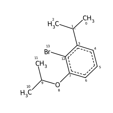 C[C](C)c1cccc(OC(C)C)c1Br